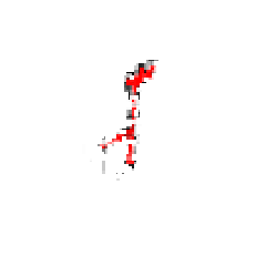 CCC(C)(CCC(F)(F)F)OC(CC(C)(CF)OC(C(=O)NCCOCCOCCOCCOCCC(=O)N(CCOCCOCCOCCN)CCOCCOCCOCCN)C(F)(F)F)C(F)(F)F